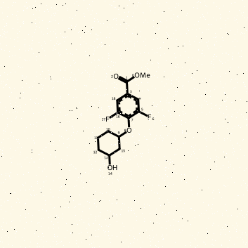 COC(=O)c1cc(F)c(OC2CCCC(O)C2)c(F)c1